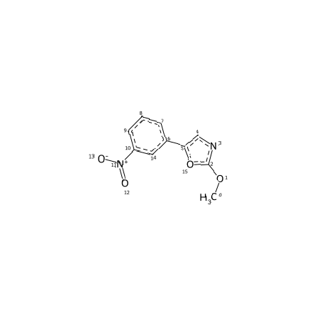 COc1ncc(-c2cccc([N+](=O)[O-])c2)o1